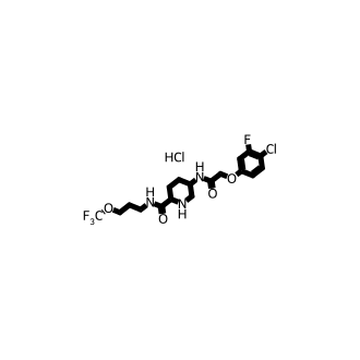 Cl.O=C(COc1ccc(Cl)c(F)c1)NC1CCC(C(=O)NCCCOC(F)(F)F)NC1